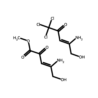 COC(=O)C(=O)C=C(N)CO.NC(=CC(=O)C(Cl)(Cl)Cl)CO